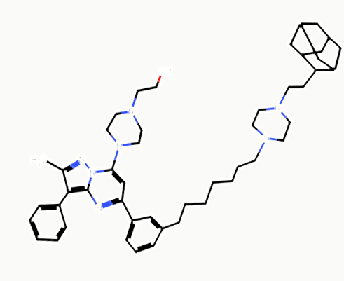 Cc1nn2c(N3CCN(CCO)CC3)cc(-c3cccc(CCCCCCCN4CCN(CCC5C6CC7CC(C6)CC5C7)CC4)c3)nc2c1-c1ccccc1